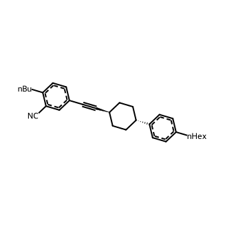 CCCCCCc1ccc([C@H]2CC[C@H](C#Cc3ccc(CCCC)c(C#N)c3)CC2)cc1